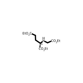 CCOC(=O)CC[C@@H](NCC(=O)OCC)C(=O)OCC